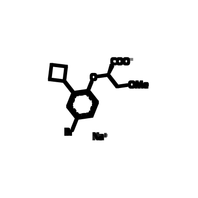 COC[C@@H](Oc1ccc(Br)cc1C1CCC1)C(=O)[O-].[Na+]